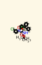 CC(C)(C)OC(=O)N[C@H](CSC(c1ccccc1)(c1ccccc1)c1ccccc1)CN(C(=O)CCl)c1cccc(Cl)c1